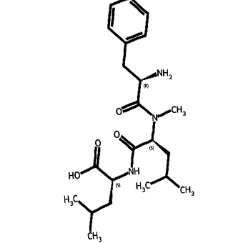 CC(C)C[C@H](NC(=O)[C@H](CC(C)C)N(C)C(=O)[C@H](N)Cc1ccccc1)C(=O)O